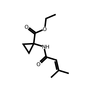 CCOC(=O)C1(NC(=O)C=C(C)C)CC1